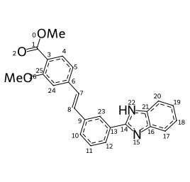 COC(=O)c1ccc(C=Cc2cccc(-c3nc4ccccc4[nH]3)c2)cc1OC